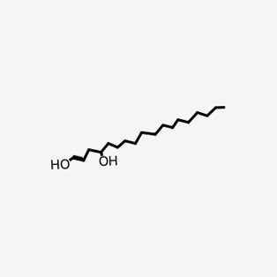 CCCCCCCCCCCCCCC(O)C/C=C/O